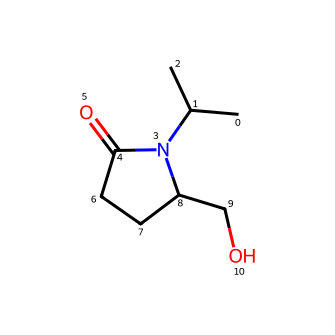 CC(C)N1C(=O)CCC1CO